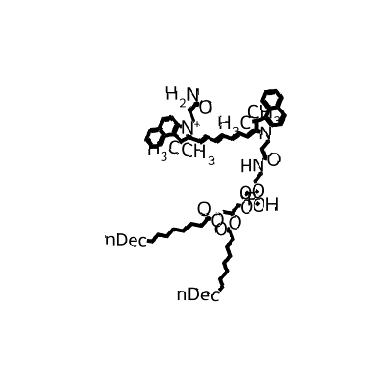 CCCCCCCCCCCCCCCCCC(=O)OCC(COP(=O)(O)OCCNC(=O)CCN1/C(=C/C=C/C=C/C=C/C2=[N+](CCC(N)=O)c3ccc4ccccc4c3C2(C)C)C(C)(C)c2c1ccc1ccccc21)OC(=O)CCCCCCCCCCCCCCCCC